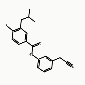 C[C](C)Cc1cc(C(=O)Nc2cccc(CC#N)c2)ccc1F